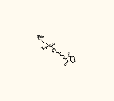 CNCCCC[C@H](N)C(=O)NCCOCCON1C(=O)c2ccccc2C1=O